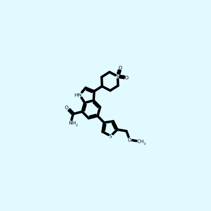 COCc1cc(-c2cc(C(N)=O)c3[nH]cc(C4CCS(=O)(=O)CC4)c3c2)cs1